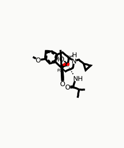 COc1ccc2c(c1)[C@]13CCN(CC4CC4)[C@H](C2)[C@]1(O)C[C@H](NC(=O)C(C)C)C(=O)C3